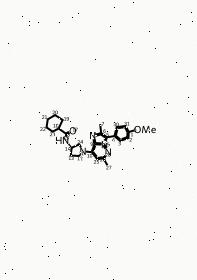 COc1ccc(-c2c(C)nc3c(N4CC[C@@H](NC(=O)C5CCCCC5)C4)cc(C)nn23)cc1